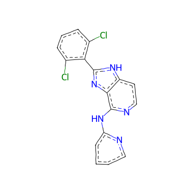 Clc1cccc(Cl)c1-c1nc2c(Nc3ccccn3)nccc2[nH]1